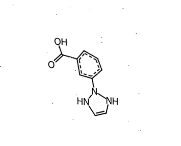 O=C(O)c1cccc(N2NC=CN2)c1